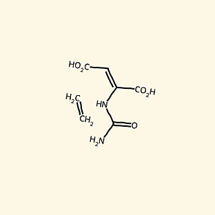 C=C.NC(=O)NC(=CC(=O)O)C(=O)O